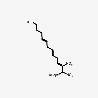 CCCCCCCC(/C(=C/C/C=C/C/C=C/CCC[C]=O)[N+](=O)[O-])[N+](=O)[O-]